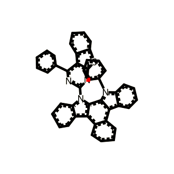 c1ccc(-c2nc(-n3c4ccccc4c4c5ccccc5c5c6ccccc6n(-c6ccccc6)c5c43)nc3sc4ccccc4c23)cc1